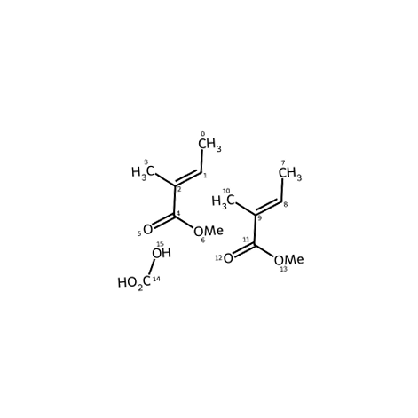 CC=C(C)C(=O)OC.CC=C(C)C(=O)OC.O=C(O)O